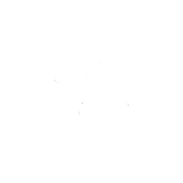 N#CC[C@H]1[C@@H](F)[C@@H](F)C(C#N)C[C@@H](F)[C@H]1F